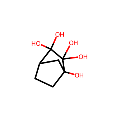 OC12CCC(C1)C(O)(O)C2(O)O